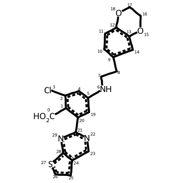 O=C(O)c1c(Cl)cc(NCCc2ccc3c(c2)OCCO3)cc1-c1ncc2ccsc2n1